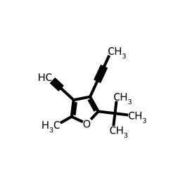 C#Cc1c(C)oc(C(C)(C)C)c1C#CC